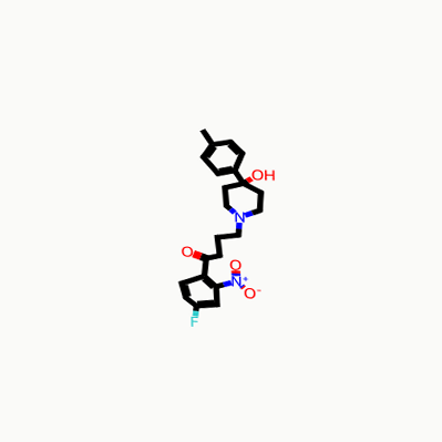 Cc1ccc(C2(O)CCN(CCCC(=O)c3ccc(F)cc3[N+](=O)[O-])CC2)cc1